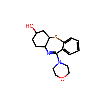 OC1CCC2N=C(N3CCOCC3)c3ccccc3SC2C1